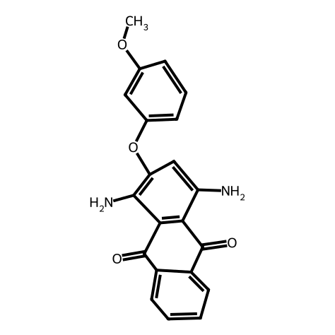 COc1cccc(Oc2cc(N)c3c(c2N)C(=O)c2ccccc2C3=O)c1